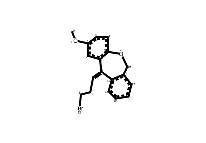 COc1ccc2c(c1)/C(=C/CCBr)c1ccccc1CO2